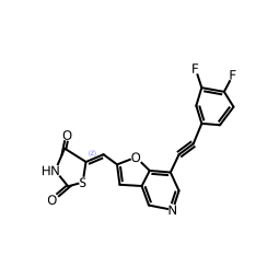 O=C1NC(=O)/C(=C/c2cc3cncc(C#Cc4ccc(F)c(F)c4)c3o2)S1